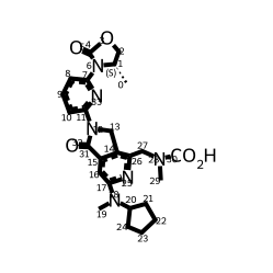 C[C@H]1COC(=O)N1c1cccc(N2Cc3c(cc(N(C)C4CCCC4)nc3CN(C)C(=O)O)C2=O)n1